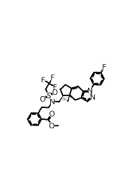 COC(=O)c1ccccc1CCN(C[C@H]1CCC2=Cc3c(cnn3-c3ccc(F)cc3)C[C@@]21C)S(=O)(=O)CC(F)(F)F